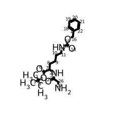 CC(C)(C)OC(=O)C(CCCCNC(=O)OCc1ccccc1)NC(=O)CN